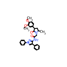 COc1ccc(C2CC(C)N(CC(=O)Nc3nn(-c4ccccc4)cc3-c3ccccc3)C2=O)cc1OC